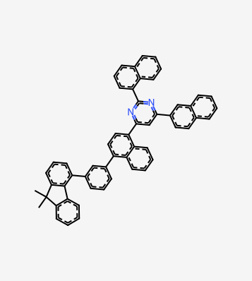 CC1(C)c2ccccc2-c2c(-c3cccc(-c4ccc(-c5cc(-c6ccc7ccccc7c6)nc(-c6cccc7ccccc67)n5)c5ccccc45)c3)cccc21